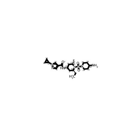 CC[C@H]1C[C@@H](NC(=O)c2cnn(C3CC3)c2)C[C@@H](F)N1S(=O)(=O)N1CCC(N)CC1